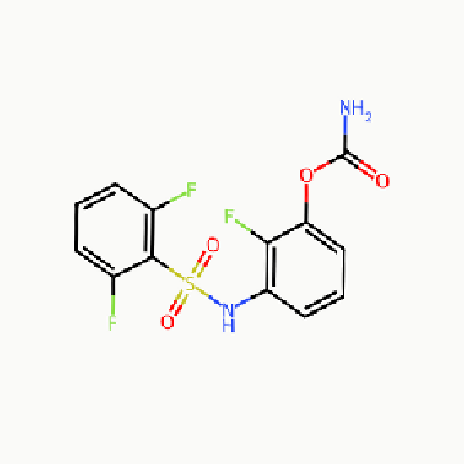 NC(=O)Oc1cccc(NS(=O)(=O)c2c(F)cccc2F)c1F